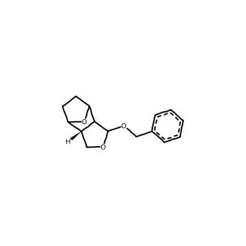 c1ccc(COC2OC[C@@H]3C4CCC(O4)C23)cc1